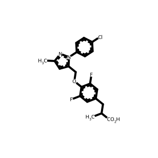 Cc1cc(COc2c(F)cc(CC(C)C(=O)O)cc2F)n(-c2ccc(Cl)cc2)n1